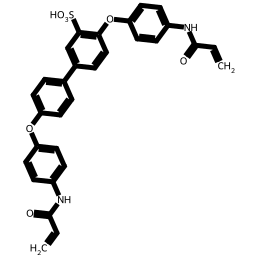 C=CC(=O)Nc1ccc(Oc2ccc(-c3ccc(Oc4ccc(NC(=O)C=C)cc4)c(S(=O)(=O)O)c3)cc2)cc1